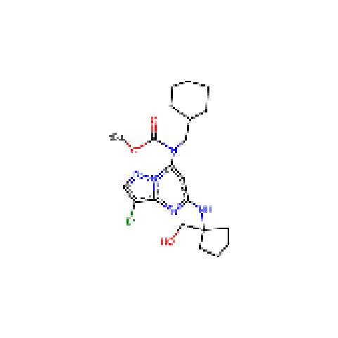 CC(C)(C)OC(=O)N(CC1CCCCC1)c1cc(NC2(CO)CCCC2)nc2c(Br)cnn12